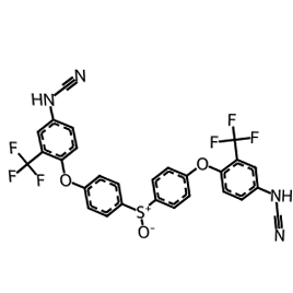 N#CNc1ccc(Oc2ccc([S+]([O-])c3ccc(Oc4ccc(NC#N)cc4C(F)(F)F)cc3)cc2)c(C(F)(F)F)c1